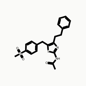 CC(=O)Nc1nc(CCc2c[c]ccc2)c(Cc2ccc(S(C)(=O)=O)cc2)s1